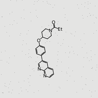 CCC(=O)N1CCC(Oc2ccc(-c3cnc4ncccc4c3)cc2)CC1